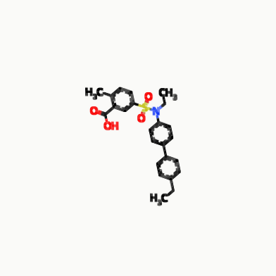 CCc1ccc(-c2ccc(N(CC)S(=O)(=O)c3ccc(C)c(C(=O)O)c3)cc2)cc1